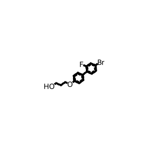 OCCCOc1ccc(-c2ccc(Br)cc2F)cc1